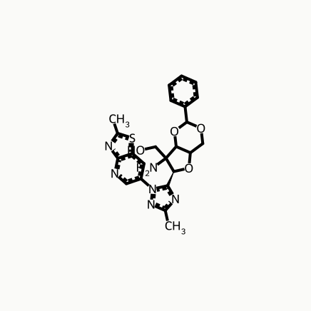 Cc1nc([C@@H]2OC3COC(c4ccccc4)OC3C2(N)CO)n(-c2cnc3nc(C)sc3c2)n1